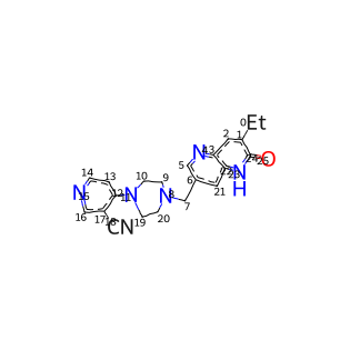 CCc1cc2ncc(CN3CCN(c4ccncc4C#N)CC3)cc2[nH]c1=O